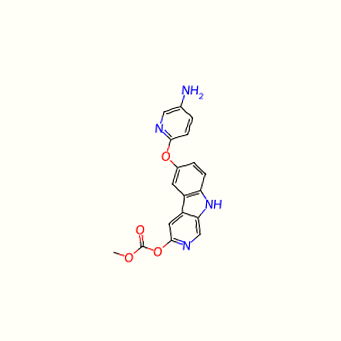 COC(=O)Oc1cc2c(cn1)[nH]c1ccc(Oc3ccc(N)cn3)cc12